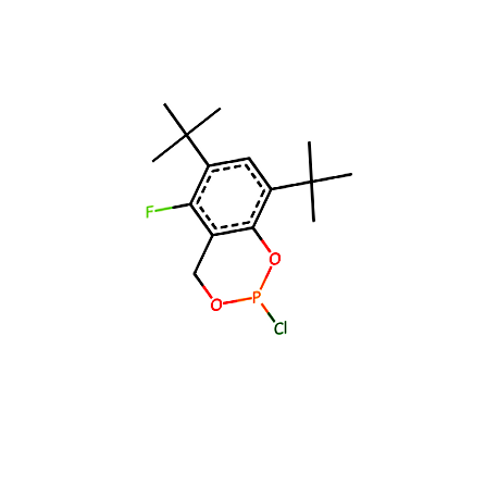 CC(C)(C)c1cc(C(C)(C)C)c2c(c1F)COP(Cl)O2